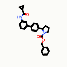 O=C(Nc1cccc(-c2ccc(C3CCCN3C(=O)OCc3ccccc3)cc2)c1)C1CC1